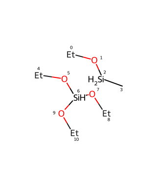 CCO[SiH2]C.CCO[SiH](OCC)OCC